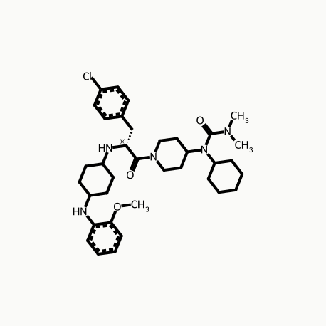 COc1ccccc1NC1CCC(N[C@H](Cc2ccc(Cl)cc2)C(=O)N2CCC(N(C(=O)N(C)C)C3CCCCC3)CC2)CC1